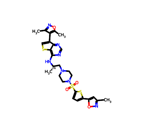 Cc1cc(-c2ccc(S(=O)(=O)N3CCN(C[C@H](C)Nc4ncnc5c(-c6c(C)noc6C)csc45)CC3)s2)on1